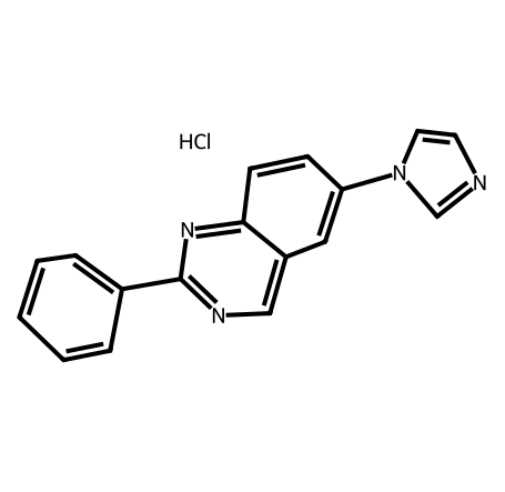 Cl.c1ccc(-c2ncc3cc(-n4ccnc4)ccc3n2)cc1